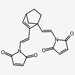 O=C1C=CC(=O)N1C=CC1=CC2CCC1(C=CN1C(=O)C=CC1=O)C2